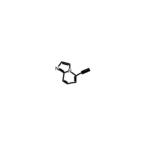 C#Cc1cccc2nccn12